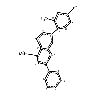 CNc1nc(-c2cccnc2)nc2cc(-c3ccc(F)cc3C)ccc12